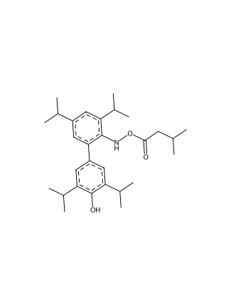 CC(C)CC(=O)ONc1c(-c2cc(C(C)C)c(O)c(C(C)C)c2)cc(C(C)C)cc1C(C)C